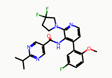 COc1ccc(F)cc1-c1ccnc(N2CCC(F)(F)C2)c1NC(=O)c1cnc(C(C)C)nc1